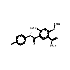 CNC(=O)c1cc(C(=O)Nc2ccc(C)cc2)c(C(=O)O)cc1OC=O